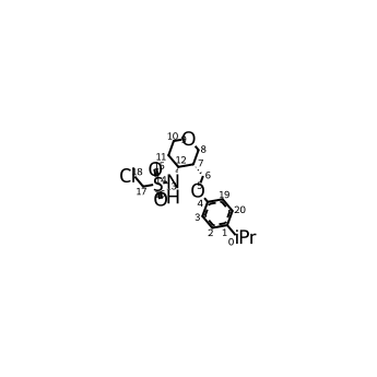 CC(C)c1ccc(OC[C@H]2COCC[C@H]2NS(=O)(=O)CCl)cc1